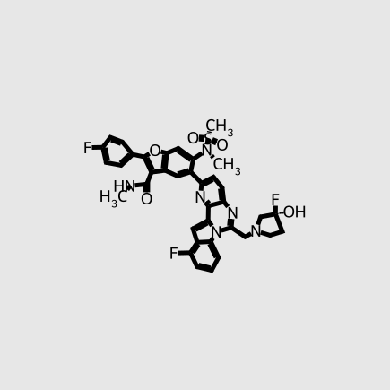 CNC(=O)c1c(-c2ccc(F)cc2)oc2cc(N(C)S(C)(=O)=O)c(-c3ccc4nc(CN5CC[C@](O)(F)C5)n5c6cccc(F)c6cc5c4n3)cc12